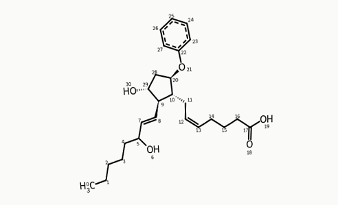 CCCCCC(O)/C=C/[C@@H]1[C@@H](C/C=C\CCCC(=O)O)[C@H](Oc2ccccc2)C[C@H]1O